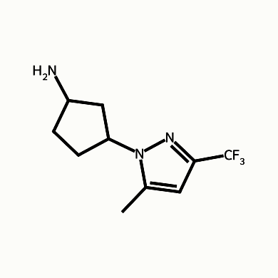 Cc1cc(C(F)(F)F)nn1C1CCC(N)C1